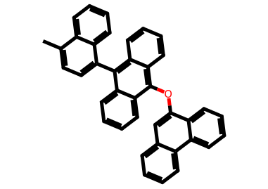 Cc1ccc(-c2c3ccccc3c(Oc3cc4ccccc4c4ccccc34)c3ccccc23)c2ccccc12